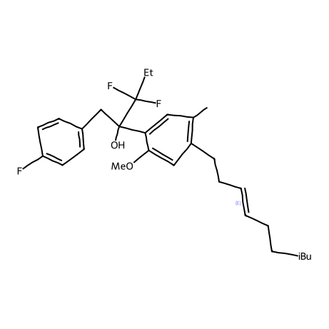 CCC(C)CC/C=C/CCc1cc(OC)c(C(O)(Cc2ccc(F)cc2)C(F)(F)CC)cc1C